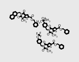 Cn1c(=O)n(Cc2ccc(C(C)(C)C)cc2)c(=O)c2cc(C(=O)OCc3ccccc3)sc21.Cn1c(=O)n(Cc2ccc(OC(F)(F)F)cc2)c(=O)c2cc(C(=O)OCc3ccccc3)sc21.Cn1c(=O)n(Cc2ccc3ccccc3c2)c(=O)c2cc(C(=O)OCc3ccccc3)sc21